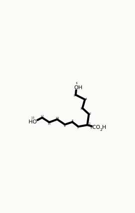 O=C(O)C(CCCCO)CCCCCCO